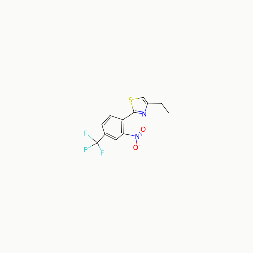 CCc1csc(-c2ccc(C(F)(F)F)cc2[N+](=O)[O-])n1